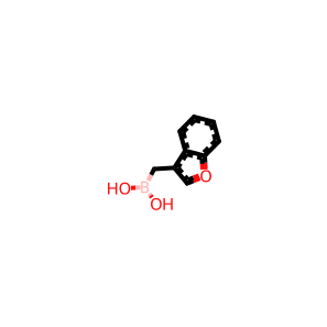 OB(O)Cc1coc2ccccc12